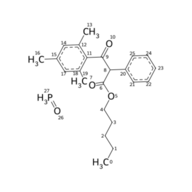 CCCCCOC(=O)C(C(=O)c1c(C)cc(C)cc1C)c1ccccc1.O=[PH3]